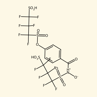 O=C(c1ccc(OS(=O)(=O)C(F)(F)C(F)(F)C(F)(F)S(=O)(=O)O)cc1)[NH+]([O-])S(=O)(=O)C(F)(F)C(F)(F)C(F)(F)S(=O)(=O)O